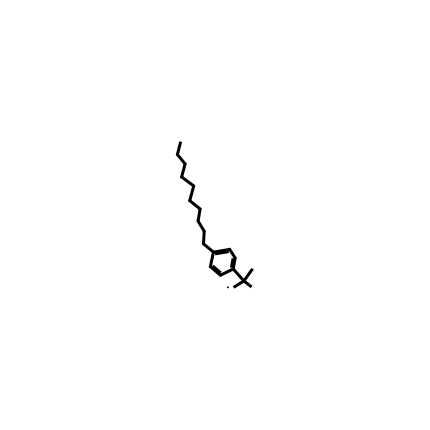 [CH2]C(C)(C)c1ccc(CCCCCCCCCC)cc1